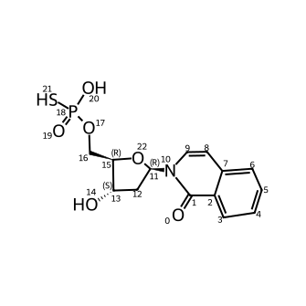 O=c1c2ccccc2ccn1[C@H]1C[C@H](O)[C@@H](COP(=O)(O)S)O1